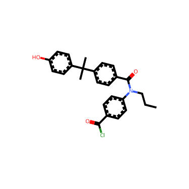 CCCN(C(=O)c1ccc(C(C)(C)c2ccc(O)cc2)cc1)c1ccc(C(=O)Cl)cc1